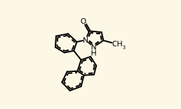 Cc1cc(=O)n(-c2ccccc2-c2cccc3ccccc23)[nH]1